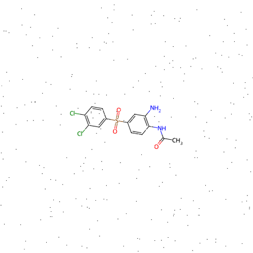 CC(=O)Nc1ccc(S(=O)(=O)c2ccc(Cl)c(Cl)c2)cc1N